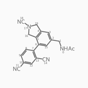 CC(=O)NCc1cc2c(c(-c3ccc(C#N)cc3C#N)c1)CN(C#N)C2